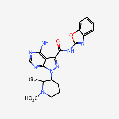 CC(C)(C)C1C(n2nc(C(=O)Nc3nc4ccccc4o3)c3c(N)ncnc32)CCCN1C(=O)O